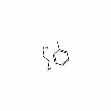 Cc1ccccc1.OCCO